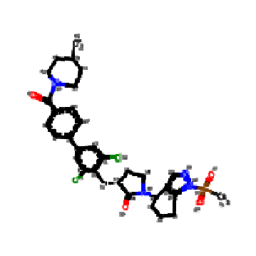 O=C(c1ccc(-c2cc(Cl)c(C[C@@H]3CCN(C4CCCc5c4cnn5S(=O)(=O)C(F)(F)F)C3=O)c(Cl)c2)cc1)N1CCC(C(F)(F)F)CC1